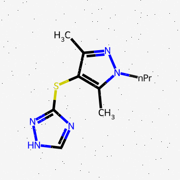 CCCn1nc(C)c(Sc2nc[nH]n2)c1C